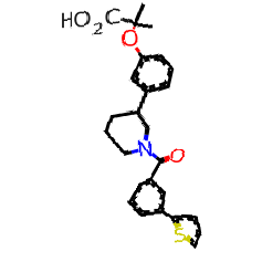 CC(C)(Oc1cccc(C2CCCN(C(=O)c3cccc(-c4cccs4)c3)C2)c1)C(=O)O